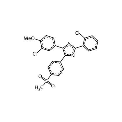 COc1ccc(-c2sc(-c3ccccc3Cl)nc2-c2ccc(S(C)(=O)=O)cc2)cc1Cl